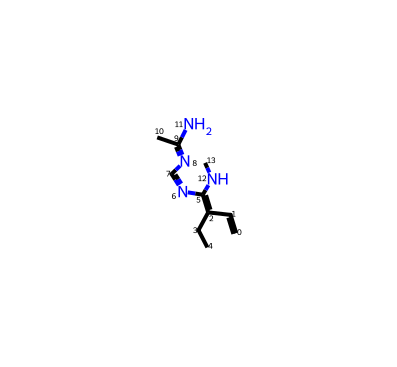 C=C/C(CC)=C(/N=C\N=C(/C)N)NC